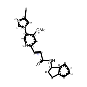 COc1cc(/C=C/C(=O)NC2CCc3ccccc32)ncc1-n1cnc(C)c1